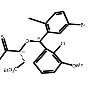 CCOC(=O)C[C@@H](O[C@@H](c1cc(Br)ccc1C)c1cccc(OC)c1Cl)C(C)=S